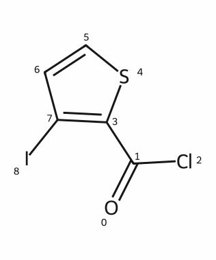 O=C(Cl)c1sccc1I